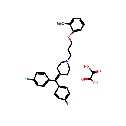 COc1ccccc1OCCCN1CCC(=C(c2ccc(F)cc2)c2ccc(F)cc2)CC1.O=C(O)C(=O)O